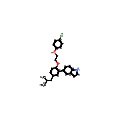 CC(Cc1ccc(OCCOc2ccc(Cl)cc2)c(-c2ccc3[nH]ccc3c2)c1)C(=O)O